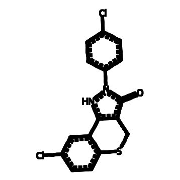 O=c1c2c([nH]n1-c1ccc(Cl)cc1)-c1cc(Cl)ccc1SC2